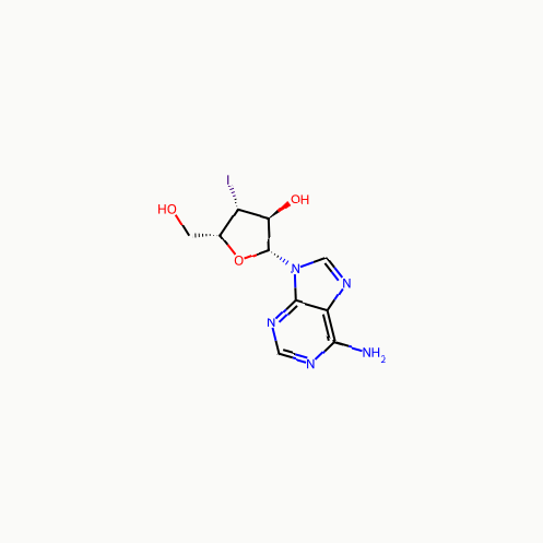 Nc1ncnc2c1ncn2[C@@H]1O[C@H](CO)[C@H](I)[C@H]1O